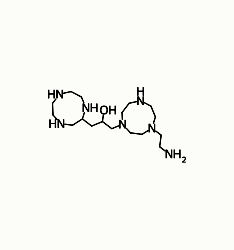 NCCN1CCNCCN(CC(O)CC2CNCCNCCN2)CC1